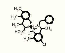 Cc1ccc(F)c(C(C)C(NS(=O)(=O)c2c(N)cc(Cl)cc2C(C)OCc2ccccc2)C(=O)O)c1C